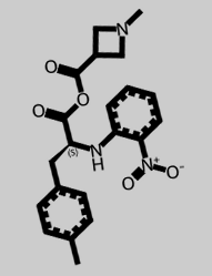 Cc1ccc(C[C@H](Nc2ccccc2[N+](=O)[O-])C(=O)OC(=O)C2CN(C)C2)cc1